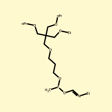 CCCOCC(COCC)(COCCC)COCCCOP(C)O/C=N/CC